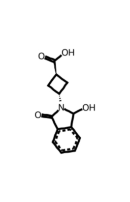 O=C1c2ccccc2C(O)N1[C@H]1C[C@H](C(=O)O)C1